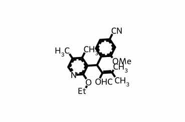 CCOc1ncc(C)c(C)c1C(C(C=O)=C(C)C)c1ccc(C#N)cc1OC